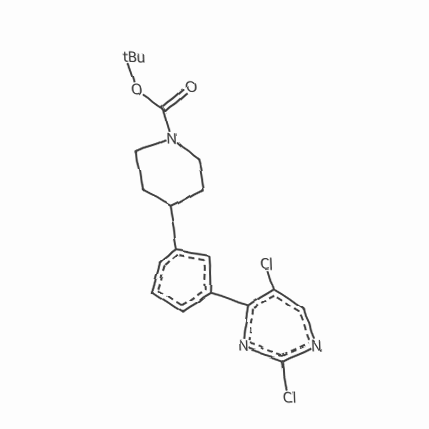 CC(C)(C)OC(=O)N1CCC(c2cccc(-c3nc(Cl)ncc3Cl)c2)CC1